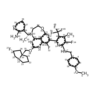 COc1ccc(CNc2nc(-c3nc4c5c(nc(OC[C@@]67CCCN6C[C@H](F)C7)nc5c3F)N([C@H](C)c3cccnc3N)CCO4)c(C(F)(F)F)c(C)c2F)cc1